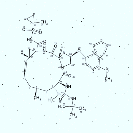 CC[C@@H]1C[C@@H](C)CC/C=C\[C@@H]2C[C@@]2(C(=O)NS(=O)(=O)C2(C)CC2)NC(=O)[C@@H]2C[C@@H](Oc3nnc(OC)c4ccccc34)CN2C(=O)[C@H]1NC(=O)NC(C)(C)C